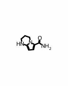 NC(=O)c1ccc2n1CCCN2